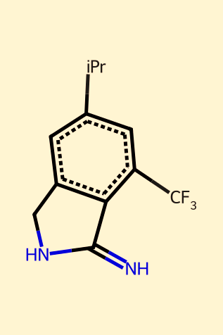 CC(C)c1cc2c(c(C(F)(F)F)c1)C(=N)NC2